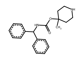 CC1(OC(=O)NC(c2ccccc2)c2ccccc2)CCNCC1